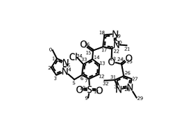 Cc1ccn(Cc2c(S(C)(=O)=O)ccc(C(=O)c3cnn(C)c3OC(=O)c3cn(C)nc3C)c2Cl)n1